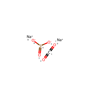 O=C=O.O=S([O-])[O-].[Na+].[Na+]